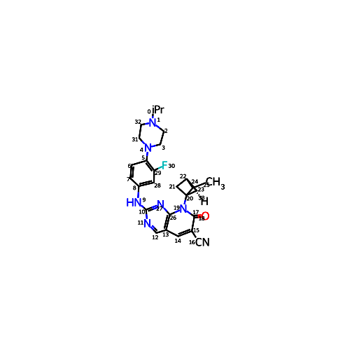 CC(C)N1CCN(c2ccc(Nc3ncc4cc(C#N)c(=O)n(C56CC(C5)[C@H]6C)c4n3)cc2F)CC1